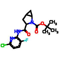 CC(C)(C)OC(=O)N1C(C(=O)Nc2nc(Cl)ccc2F)CC2CC21